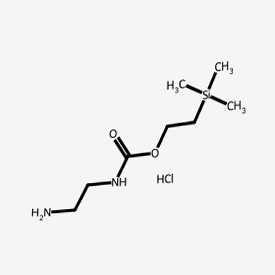 C[Si](C)(C)CCOC(=O)NCCN.Cl